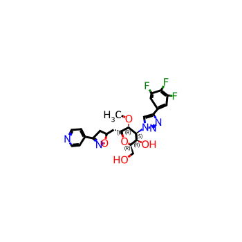 CO[C@@H]1[C@@H](n2cc(-c3cc(F)c(F)c(F)c3)nn2)[C@@H](O)[C@@H](CO)O[C@@H]1CC1CC(c2ccncc2)=NO1